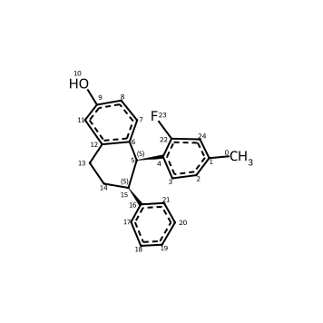 Cc1ccc([C@@H]2c3ccc(O)cc3CC[C@@H]2c2ccccc2)c(F)c1